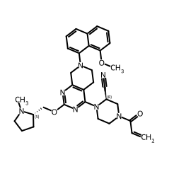 C=CC(=O)N1CCN(c2nc(OC[C@@H]3CCCN3C)nc3c2CCN(c2cccc4cccc(OC)c24)C3)[C@@H](C#N)C1